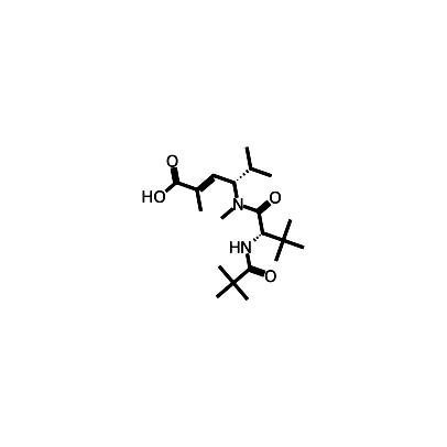 C/C(=C\[C@H](C(C)C)N(C)C(=O)[C@@H](NC(=O)C(C)(C)C)C(C)(C)C)C(=O)O